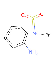 CC(C)N=S(=O)=O.Nc1ccccc1